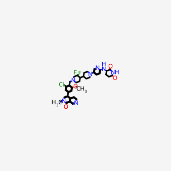 COc1cc(-c2cn(C)c(=O)c3cnccc23)cc(Cl)c1CN1CCC(C2CCN(c3ccc(NC4CCC(=O)NC4=O)nc3)CC2)C(F)(F)C1